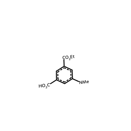 CCOC(=O)c1cc(NC)cc(C(=O)O)c1